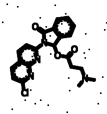 CN(C)CCC(=O)OC1c2ccccc2C(=O)N1c1ccc2ccc(Cl)nc2n1